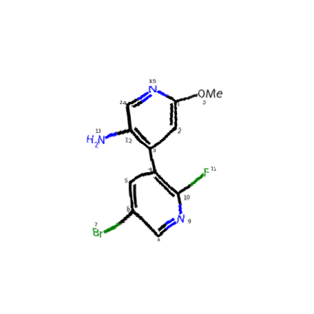 COc1cc(-c2cc(Br)cnc2F)c(N)cn1